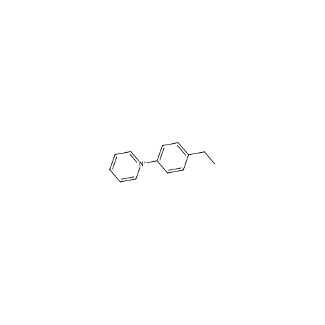 CCc1ccc(-[n+]2ccccc2)cc1